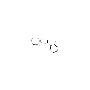 CC1(C)CCCCC1(C)OC(=O)c1ccccc1O